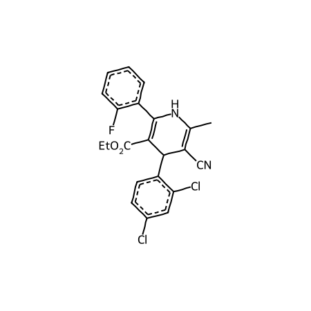 CCOC(=O)C1=C(c2ccccc2F)NC(C)=C(C#N)C1c1ccc(Cl)cc1Cl